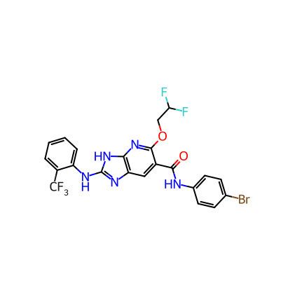 O=C(Nc1ccc(Br)cc1)c1cc2nc(Nc3ccccc3C(F)(F)F)[nH]c2nc1OCC(F)F